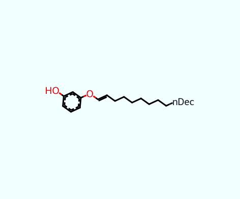 CCCCCCCCCCCCCCCCCC=COc1cccc(O)c1